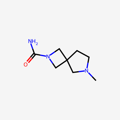 CN1CCC2(C1)CN(C(N)=O)C2